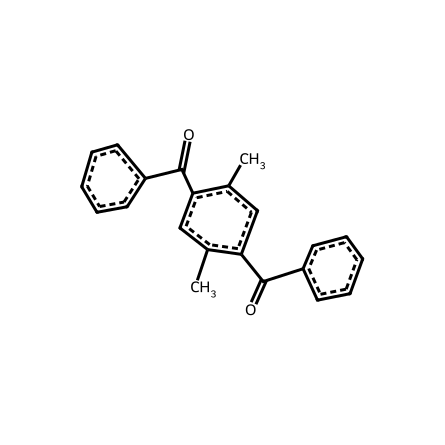 Cc1cc(C(=O)c2ccccc2)c(C)cc1C(=O)c1ccccc1